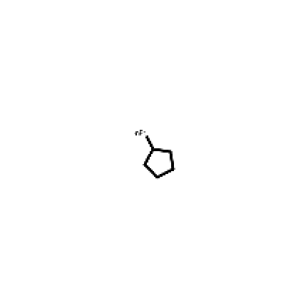 CC[CH]C1CCCC1